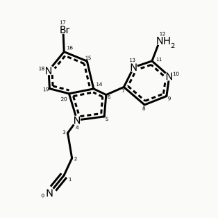 N#CCCn1cc(-c2ccnc(N)n2)c2cc(Br)ncc21